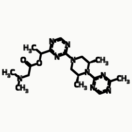 Cc1ncnc(N2[C@H](C)CN(c3ncnc(C(C)OC(=O)CN(C)C)n3)C[C@@H]2C)n1